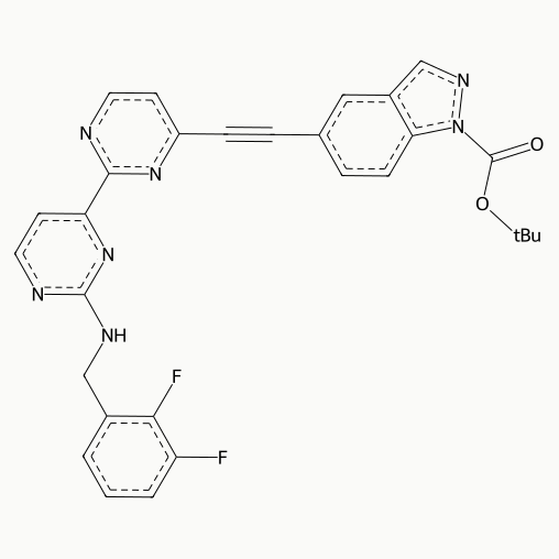 CC(C)(C)OC(=O)n1ncc2cc(C#Cc3ccnc(-c4ccnc(NCc5cccc(F)c5F)n4)n3)ccc21